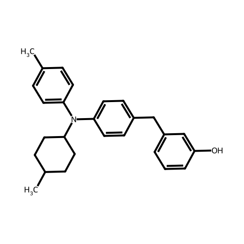 Cc1ccc(N(c2ccc(Cc3cccc(O)c3)cc2)C2CCC(C)CC2)cc1